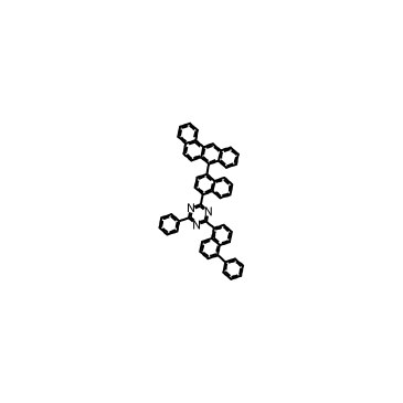 c1ccc(-c2nc(-c3cccc4c(-c5ccccc5)cccc34)nc(-c3ccc(-c4c5ccccc5cc5c4ccc4ccccc45)c4ccccc34)n2)cc1